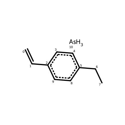 C=Cc1ccc(CC)cc1.[AsH3]